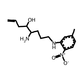 C=CCC(O)C(N)CCCNc1cc(C)ccc1[N+](=O)[O-]